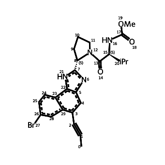 CC#Cc1cc2nc([C@@H]3CCCN3C(=O)[C@@H](NC(=O)OC)C(C)C)[nH]c2c2ccc(Br)cc12